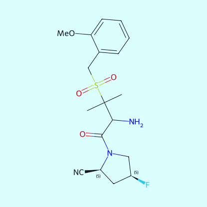 COc1ccccc1CS(=O)(=O)C(C)(C)C(N)C(=O)N1C[C@@H](F)C[C@H]1C#N